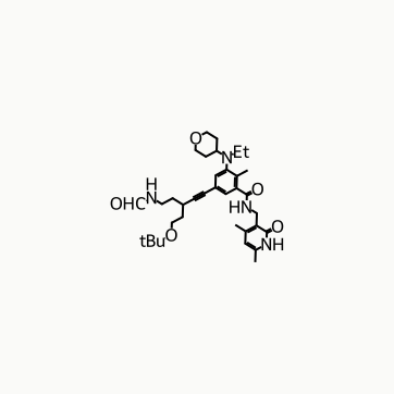 CCN(c1cc(C#CC(CCNC=O)CCOC(C)(C)C)cc(C(=O)NCc2c(C)cc(C)[nH]c2=O)c1C)C1CCOCC1